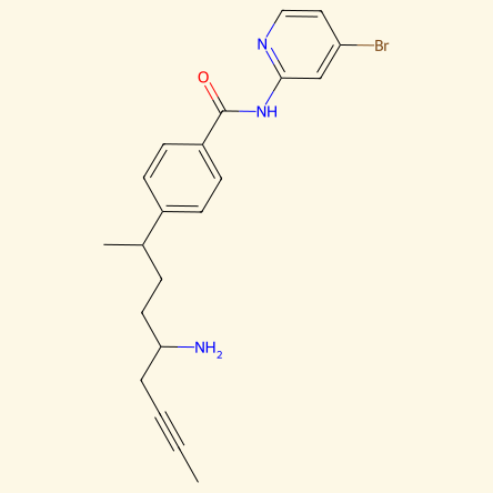 CC#CCC(N)CCC(C)c1ccc(C(=O)Nc2cc(Br)ccn2)cc1